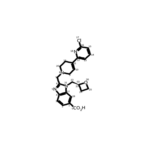 O=C(O)c1ccc2nc(CN3CC=C(c4cccc(Cl)n4)CC3)n(C[C@@H]3CCO3)c2c1